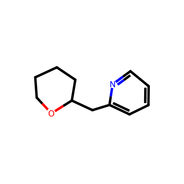 c1ccc(CC2CCCCO2)nc1